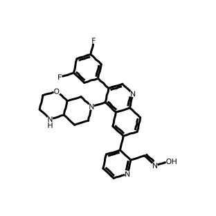 ON=Cc1ncccc1-c1ccc2ncc(-c3cc(F)cc(F)c3)c(N3CCC4NCCOC4C3)c2c1